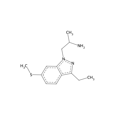 CCc1nn(CC(C)N)c2cc(SC)ccc12